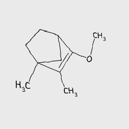 COC1=C(C)C2(C)CCC1C2